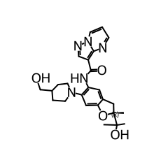 CC(C)(O)[C@@]1(C)Cc2cc(NC(=O)c3cnn4cccnc34)c(N3CCC(CO)CC3)cc2O1